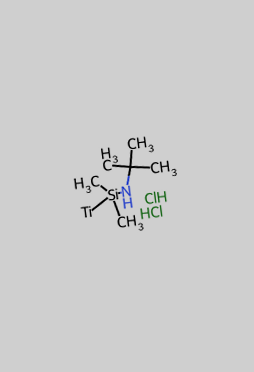 CC(C)(C)N[Si](C)(C)[Ti].Cl.Cl